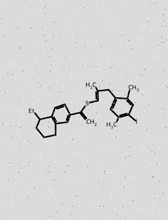 C=C(S/C=C(\C)Cc1cc(C)c(I)cc1C)c1ccc2c(c1)CCCC2CC